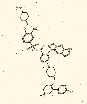 COC1CCC(COc2ccc(S(=O)(=O)NC(=O)c3ccc(N4CCN(CC5=C(c6ccc(Cl)cc6)CC(C)(C)CC5)CC4)cc3-n3ncc4nc5[nH]ccc5cc43)cc2[N+](=O)[O-])CC1